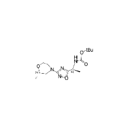 C[C@H](NC(=O)OC(C)(C)C)c1nc(N2CCO[C@@H](C)C2)no1